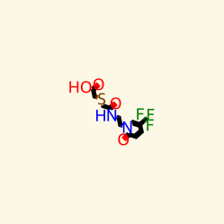 O=C(O)CSCC(=O)NCCn1cc(C(F)(F)F)ccc1=O